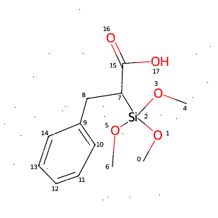 CO[Si](OC)(OC)C(Cc1ccccc1)C(=O)O